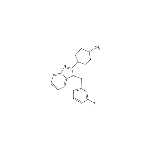 CC1CCN(c2nc3ccccc3n2Cc2cccc(F)c2)CC1